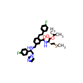 CSCC[C@H](NC(=O)c1cc(CNC(Cn2ccnc2)c2ccc(F)cc2)ccc1CCc1ccc(F)cc1)C(=O)OC(C)C